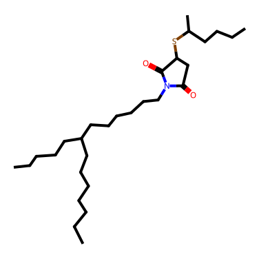 CCCCCCCC(CCCCC)CCCCCCN1C(=O)CC(SC(C)CCCC)C1=O